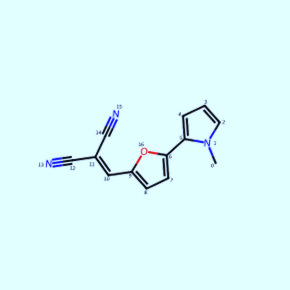 Cn1cccc1-c1ccc(C=C(C#N)C#N)o1